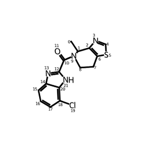 CC1c2ncsc2CCN1C(=O)c1nc2cccc(Cl)c2[nH]1